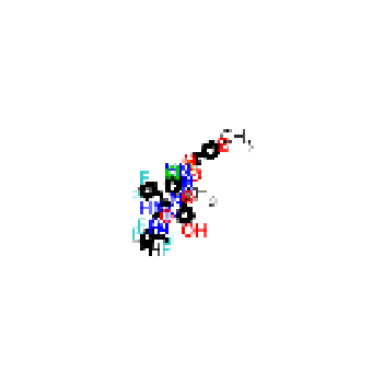 COc1ccc(CCS(=O)(=O)Nc2nn(C)c3c(-n4c([C@H](Cc5cc(F)cc(F)c5)NC(=O)Cn5nc(C(F)F)c6c5C(F)(F)[C@@H]5C[C@H]65)nc5cc(O)ccc5c4=O)ccc(Cl)c23)cc1